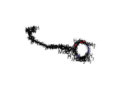 CO[C@H]1C[C@@H]2CC[C@@H](C)[C@@](O)(O2)C(=O)C(=O)N2CCCC[C@H]2C(=O)O[C@H]([C@H](N)C[C@@H]2CC[C@@H](OC(=O)N3CCc4nc(N5CCN(c6ncc(C(=O)NCCOCCOCCOCCOCCC(=O)N7CCc8cc(Cn9nc(-c%10cnc%11[nH]ccc%11c%10)c%10c(N)ncnc%109)ccc8C7)cn6)CC5)ncc4C3)[C@H](OC)C2)CC(=O)[C@H](C)/C=C(\C)[C@@H](O)[C@@H](OC)C(=O)[C@H](C)C[C@H](C)/C=C/C=C/C=C/1C